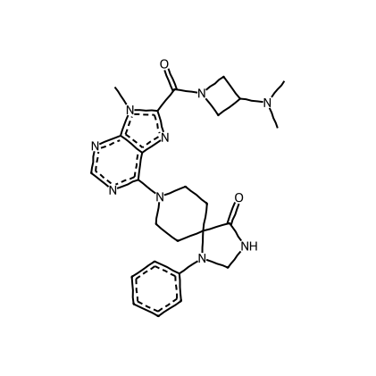 CN(C)C1CN(C(=O)c2nc3c(N4CCC5(CC4)C(=O)NCN5c4ccccc4)ncnc3n2C)C1